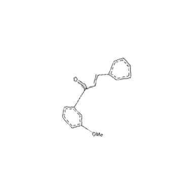 COc1cccc(C(=O)/C=C/c2ccccc2)c1